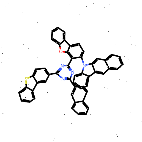 c1ccc2cc(-c3nc(-c4ccc5sc6ccccc6c5c4)nc(-c4c(-n5c6ccccc6c6cc7ccccc7cc65)ccc5c4oc4ccccc45)n3)ccc2c1